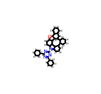 c1ccc(-c2nc(-c3ccccc3)nc(-n3c4cccc5c6ccccc6c6cc7ccccc7c7oc8ccc3c(c8c67)c54)n2)cc1